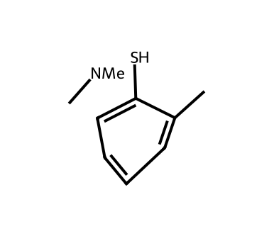 CNC.Cc1ccccc1S